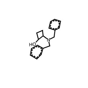 OC1CCC1N(Cc1ccccc1)Cc1ccccc1